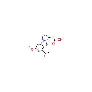 COc1cc(C(C)C)c2cc3n(c2c1)CCC3CC(=O)O